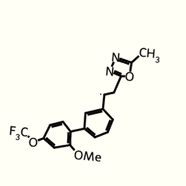 COc1cc(OC(F)(F)F)ccc1-c1cccc([CH]Cc2nnc(C)o2)c1